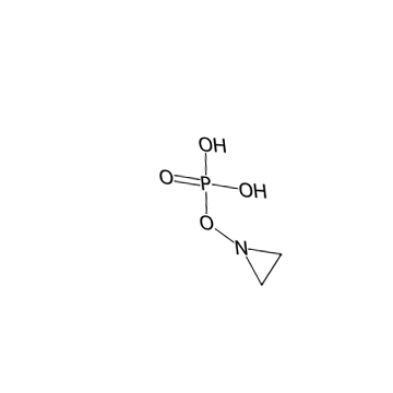 O=P(O)(O)ON1CC1